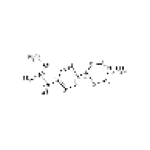 CON(C)C(=O)c1ccc(N2CCN(C)CC2)cc1